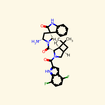 CC1(C)C[C@H]2CN(C(=O)c3cc4c(F)ccc(F)c4[nH]3)[C@H](C(=O)N3C[C@]4(C[C@H]3N)C(=O)Nc3ccccc34)[C@H]21